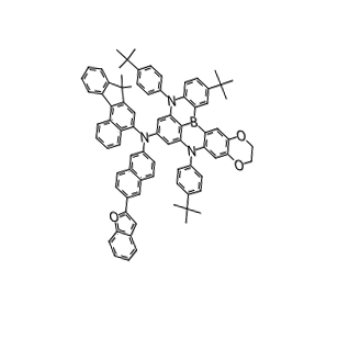 CC(C)(C)c1ccc(N2c3ccc(C(C)(C)C)cc3B3c4cc5c(cc4N(c4ccc(C(C)(C)C)cc4)c4cc(N(c6ccc7cc(-c8cc9ccccc9o8)ccc7c6)c6cc7c(c8ccccc68)-c6ccccc6C7(C)C)cc2c43)OCCO5)cc1